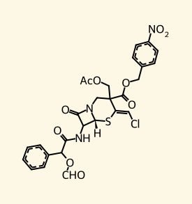 CC(=O)OCC1(C(=O)OCc2ccc([N+](=O)[O-])cc2)CN2C(=O)C(NC(=O)C(OC=O)c3ccccc3)[C@H]2SC1=CCl